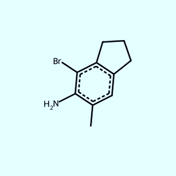 Cc1cc2c(c(Br)c1N)CCC2